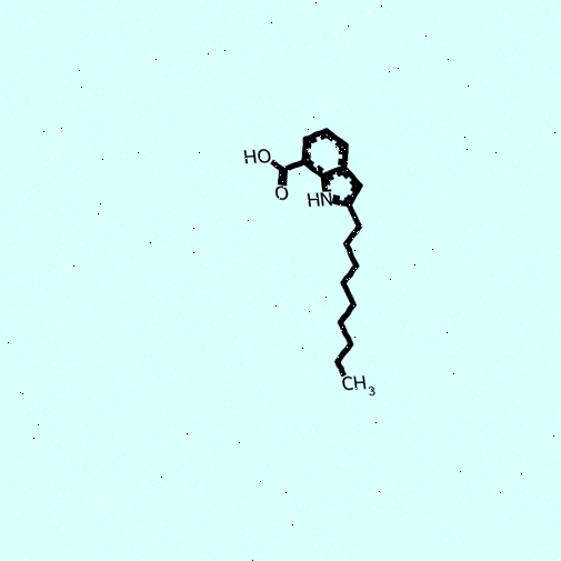 CCCCCCCCCc1cc2cccc(C(=O)O)c2[nH]1